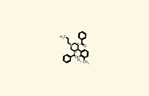 CCCN1C[C@H](C(=O)c2ccccc2)C(c2cccc(C)c2C)[C@@H](C(=O)c2ccccc2)C1